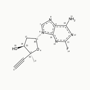 C#C[C@]1(C)O[C@@H](n2cnc3c(N)nc(F)nc32)C[C@@H]1O